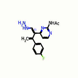 C=C(/C(=C\NN)c1ccnc(NC(C)=O)n1)c1ccc(F)cc1